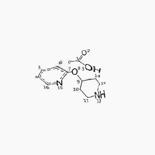 CC(=O)O.c1ccc(OC2CCNCC2)nc1